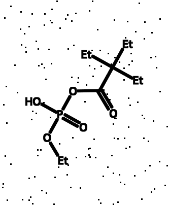 CCOP(=O)(O)OC(=O)C(CC)(CC)CC